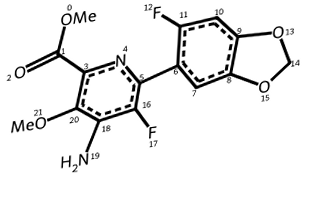 COC(=O)c1nc(-c2cc3c(cc2F)OCO3)c(F)c(N)c1OC